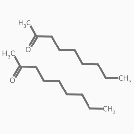 CCCCCCCC(C)=O.CCCCCCCC(C)=O